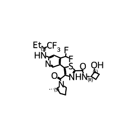 CC[C@H](Nc1cc(C(F)F)c(-c2sc(C(=O)N[C@@H]3CC[C@@H]3O)nc2C(=O)N2CCC[C@@H]2C)cn1)C(F)(F)F